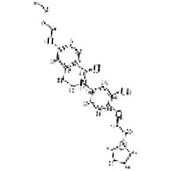 CCCCOc1ccc2c(c1)CCN(c1ccc(OCCN3CCCC3)c(Cl)c1)C2=O